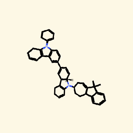 CC1(C)C2=CCC(N3C4=C(CCC=C4)C4C=C(c5ccc6c(c5)c5c(n6C6=CC=CCC6)CCC=C5)C=C[C@@H]43)CCC2c2ccccc21